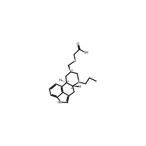 CCCN1C[C@H](CSCC(=O)S)C[C@@H]2c3cccc4[nH]cc(c34)C[C@H]21